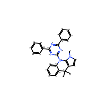 Cn1ccc2c1N(c1nc(-c3ccccc3)nc(-c3ccccc3)n1)c1ccccc1C2(C)C